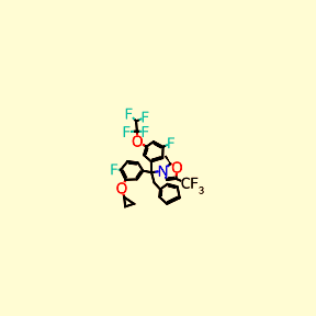 C[C@H]1OC(C(F)(F)F)=CN1C(Cc1ccccc1)(c1cc(F)cc(OC(F)(F)C(F)F)c1)c1ccc(F)c(OC2CC2)c1